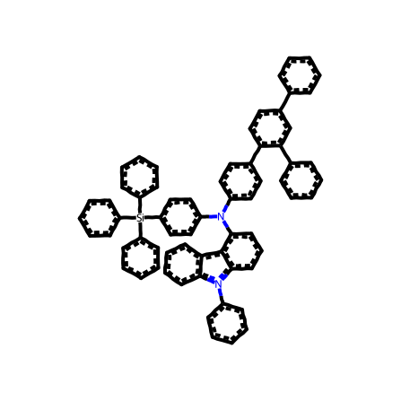 c1ccc(-c2ccc(-c3ccc(N(c4ccc([Si](c5ccccc5)(c5ccccc5)c5ccccc5)cc4)c4cccc5c4c4ccccc4n5-c4ccccc4)cc3)c(-c3ccccc3)c2)cc1